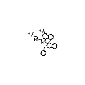 CCCNc1nc2c(N(Cc3ccccc3)Cc3ccccc3)nc3ccccc3c2n1CC(C)C